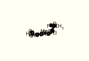 COc1cc(-c2cn(C)c(=O)c3ccc(F)cc23)cc(Cl)c1CC1CCN(CC(=O)N2CCC(c3ccc(NC4CCC(=O)NC4=O)cc3)CC2)CC1